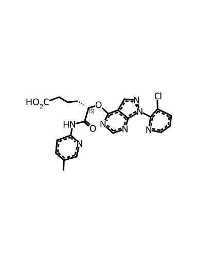 Cc1ccc(NC(=O)[C@H](CCCC(=O)O)Oc2ncnc3c2cnn3-c2ncccc2Cl)nc1